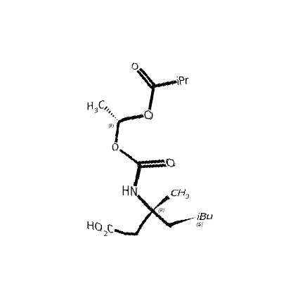 CC[C@H](C)C[C@](C)(CC(=O)O)NC(=O)O[C@H](C)OC(=O)C(C)C